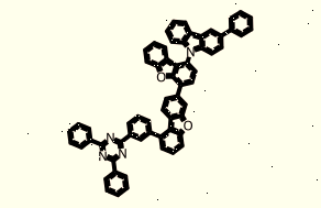 c1ccc(-c2ccc3c(c2)c2ccccc2n3-c2ccc(-c3ccc4c(c3)oc3cccc(-c5cccc(-c6nc(-c7ccccc7)nc(-c7ccccc7)n6)c5)c34)c3oc4ccccc4c23)cc1